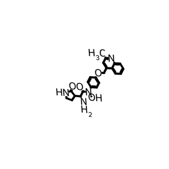 Cc1cc(COc2ccc(N(O)C(=O)C(N)C3CCNC3=O)cc2)c2ccccc2n1